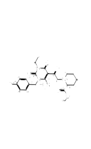 CCn1c(=O)c(C(=O)CN2CCCC[C@@H]2C(=O)OC)c(N)n(Cc2ccc(F)cc2)c1=O